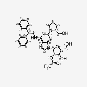 O=C(O[C@@H]1[C@H](O)[C@@H](CO)O[C@H]1n1cnc2c(NCC(c3ccccc3)c3ccccc3)nc(N3CCC[C@H]3CO)nc21)C(F)(F)F